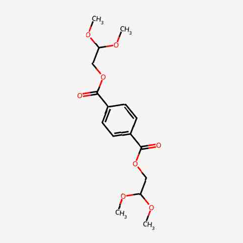 COC(COC(=O)c1ccc(C(=O)OCC(OC)OC)cc1)OC